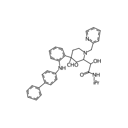 CC(C)NC(=O)C(O)C1CC(C=O)(c2ccccc2Nc2ccc(-c3ccccc3)cc2)CCN1Cc1ccccn1